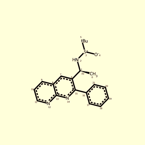 C[C@H](N[S+]([O-])C(C)(C)C)c1cc2cccnc2nc1-c1ccccc1